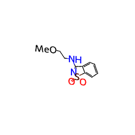 COCCNC1=NS(=O)(=O)c2ccccc21